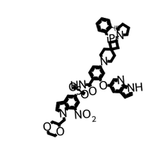 CC(C)c1ccccc1[C@@H]1CCCN1C1CC2(CCN(c3ccc(C(=O)NS(=O)(=O)c4cc([N+](=O)[O-])c5c(ccn5CC5COCCO5)c4)c(Oc4cnc5[nH]ccc5c4)c3)CC2)C1